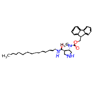 CCCCCCCCCCCCCCNC(=O)[C@@H]1CNC[C@H]1N(C)C(=O)OCC1c2ccccc2-c2ccccc21